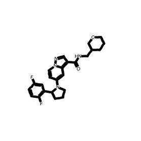 O=C(NCC1CCCOC1)c1cnn2ccc(N3CCCC3c3cc(F)ccc3F)cc12